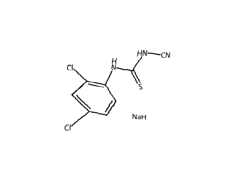 N#CNC(=S)Nc1ccc(Cl)cc1Cl.[NaH]